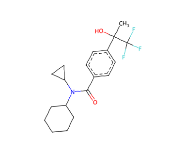 CC(O)(c1ccc(C(=O)N(C2CCCCC2)C2CC2)cc1)C(F)(F)F